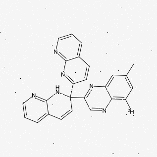 [2H]c1cc(C)cc2nc(C3(c4ccc5cccnc5n4)C=Cc4cccnc4N3)cnc12